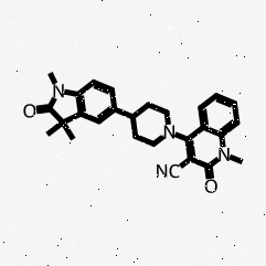 CN1C(=O)C(C)(C)c2cc(C3CCN(c4c(C#N)c(=O)n(C)c5ccccc45)CC3)ccc21